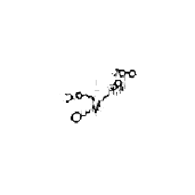 COc1cc([C@@H]2c3[nH]c4ccccc4c3CC3COC(=O)N32)cc(OC)c1OC(=O)NCCCC[C@H](NC(=O)CCCc1ccc(N(CCCl)CCCl)cc1)C(=O)N[C@H](CCCCC1CCCCCCCC1)C(N)=O